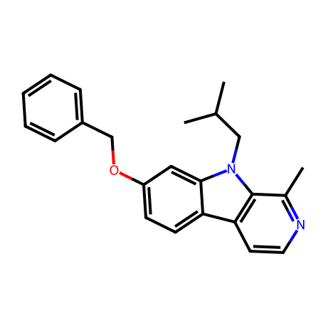 Cc1nccc2c3ccc(OCc4ccccc4)cc3n(CC(C)C)c12